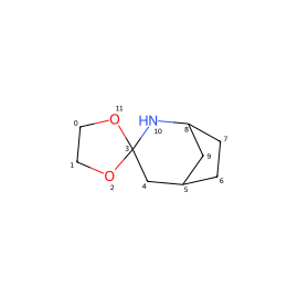 C1COC2(CC3CCC(C3)N2)O1